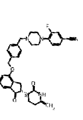 C=C1CC[C@H](N2Cc3c(OCc4ccc(CN5CCN(c6ccc(C#N)cc6F)CC5)cc4)cccc3C2=O)C(=O)N1